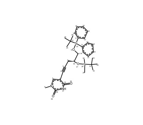 Cn1cc(C#CC[C@@H](CO[Si](c2ccccc2)(c2ccccc2)C(C)(C)C)O[Si](C)(C)C(C)(C)C)c(=O)[nH]c1=O